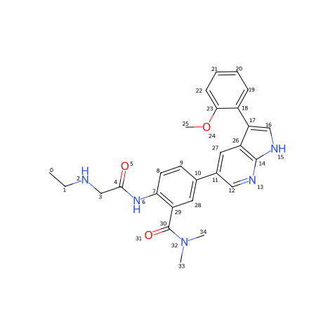 CCNCC(=O)Nc1ccc(-c2cnc3[nH]cc(-c4ccccc4OC)c3c2)cc1C(=O)N(C)C